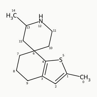 Cc1cc2c(s1)C1(CCC2)CCNC(C)C1